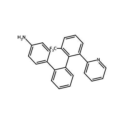 Nc1ccc(-c2ccccc2-c2c(-c3ccccn3)cccc2C(F)(F)F)cc1